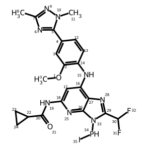 COc1cc(-c2nc(C)nn2C)ccc1Nc1cc(NC(=O)C2CC2)nc2c1nc(C(F)F)n2PI